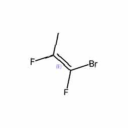 C/C(F)=C(/F)Br